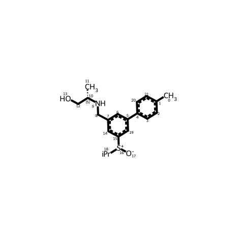 Cc1ccc(-c2cc(CN[C@@H](C)CO)cc([S+]([O-])C(C)C)c2)cc1